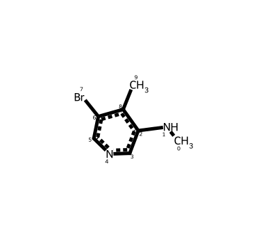 CNc1cncc(Br)c1C